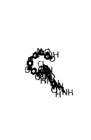 C[C@H](c1c(NC(=O)Nc2cnc(N/N=C\C=N)c(Cl)c2)cnc2cc(Cl)nn12)N(C)C(=O)C1CCC(C(=O)N2CCN(CC3CCN(c4cc(C5CCC(=O)NC5=O)ccn4)CC3)CC2)CC1